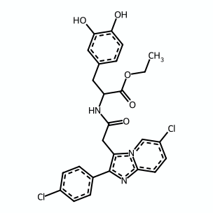 CCOC(=O)C(Cc1ccc(O)c(O)c1)NC(=O)Cc1c(-c2ccc(Cl)cc2)nc2ccc(Cl)cn12